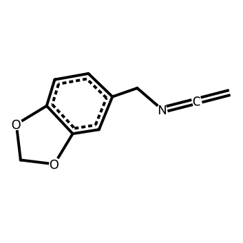 C=C=NCc1ccc2c(c1)OCO2